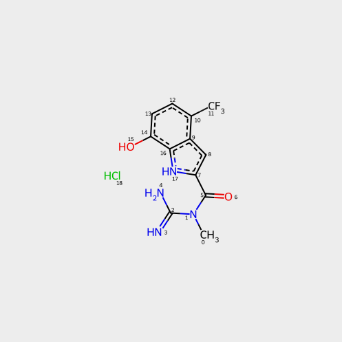 CN(C(=N)N)C(=O)c1cc2c(C(F)(F)F)ccc(O)c2[nH]1.Cl